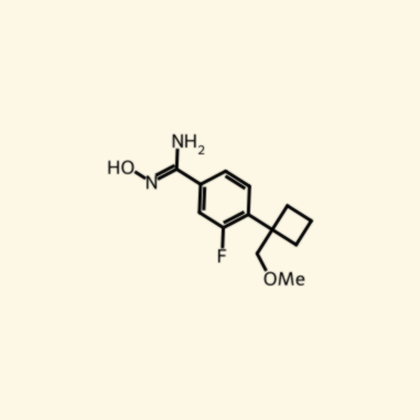 COCC1(c2ccc(/C(N)=N/O)cc2F)CCC1